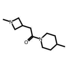 CC1CCN(C(=O)CC2CN(C)C2)CC1